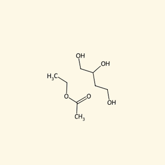 CCOC(C)=O.OCCC(O)CO